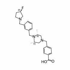 C[C@@H]1CN(Cc2ccc(C(=O)O)cc2)C[C@H](C)N1Cc1cccc(CN2CC[C@@H](F)C2)c1